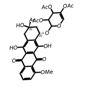 COc1cccc2c1C(=O)c1c(O)c3c(c(O)c1C2=O)C[C@@](O)(C(C)=O)C[C@@H]3OC1OC=C(OC(C)=O)C(OC(C)=O)C1OC(C)=O